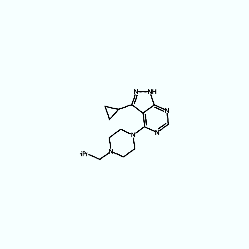 C[C](C)CN1CCN(c2ncnc3[nH]nc(C4CC4)c23)CC1